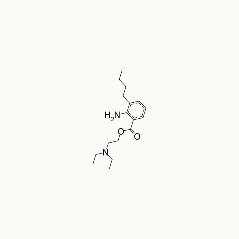 CCCCc1cccc(C(=O)OCCN(CC)CC)c1N